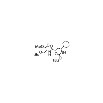 COC(=O)C(COC(C)(C)C)NC(=O)CC[C@H](NC(=O)OC(C)(C)C)C1CCCCC1